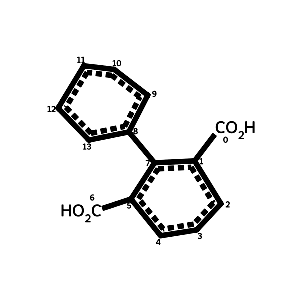 O=C(O)c1cccc(C(=O)O)c1-c1ccccc1